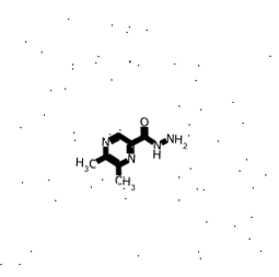 Cc1ncc(C(=O)NN)nc1C